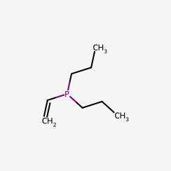 C=CP(CCC)CCC